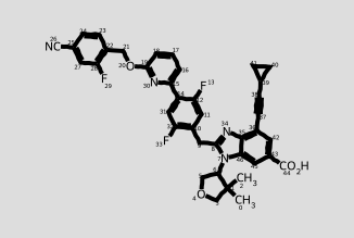 CC1(C)COCC1n1c(Cc2cc(F)c(-c3cccc(OCc4ccc(C#N)cc4F)n3)cc2F)nc2c(C#CC3CC3)cc(C(=O)O)cc21